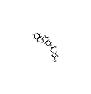 N#Cc1ncn(CC(=O)N2Cc3ccc(-c4cnccc4C(F)(F)F)cc3C2)n1